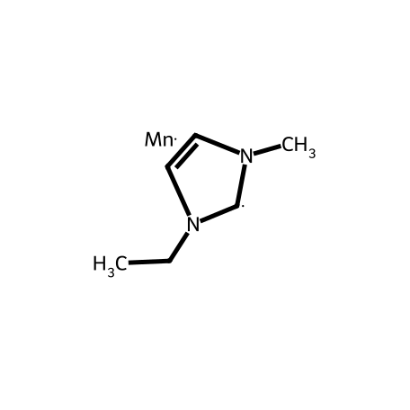 CCN1[CH]N(C)C=C1.[Mn]